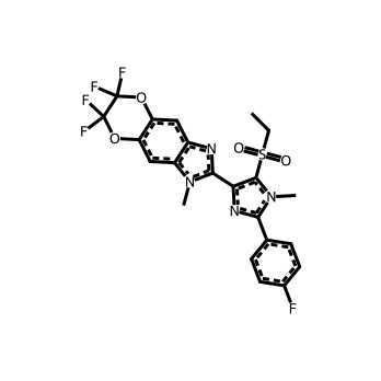 CCS(=O)(=O)c1c(-c2nc3cc4c(cc3n2C)OC(F)(F)C(F)(F)O4)nc(-c2ccc(F)cc2)n1C